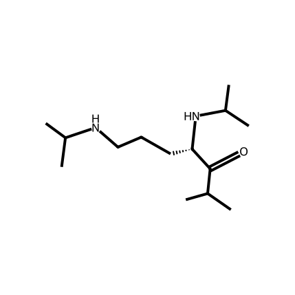 CC(C)NCCC[C@H](NC(C)C)C(=O)C(C)C